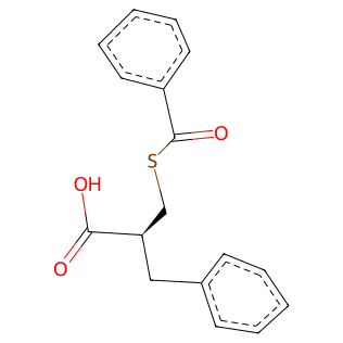 O=C(SC[C@@H](Cc1ccccc1)C(=O)O)c1ccccc1